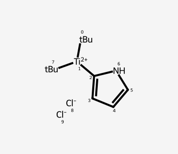 C[C](C)(C)[Ti+2]([c]1ccc[nH]1)[C](C)(C)C.[Cl-].[Cl-]